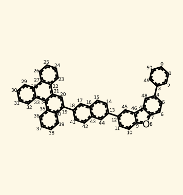 c1ccc(-c2ccc3oc4ccc(-c5ccc6cc(-c7cc8c9ccccc9c9ccccc9c8c8ccccc78)ccc6c5)cc4c3c2)cc1